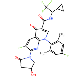 Cc1cc(F)cc(C)c1-n1cc(C(=O)NC(C2CC2)C(F)(F)F)c(=O)c2cc(F)c(N3C[C@@H](O)CC3=O)nc21